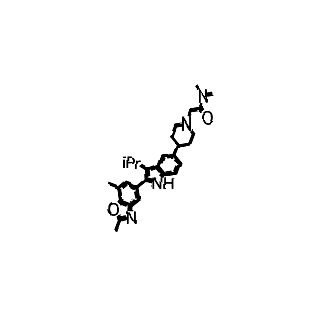 Cc1nc2cc(-c3[nH]c4ccc(C5CCN(CC(=O)N(C)C)CC5)cc4c3C(C)C)cc(C)c2o1